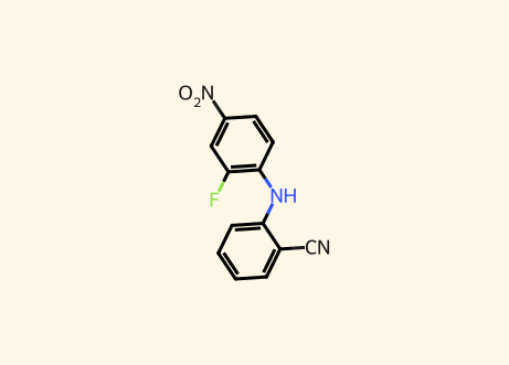 N#Cc1ccccc1Nc1ccc([N+](=O)[O-])cc1F